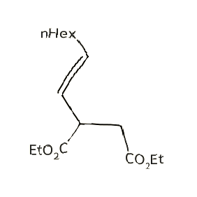 CCCCCC/C=C/C(CC(=O)OCC)C(=O)OCC